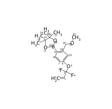 C=CC(F)(F)Oc1ccc(B2OC(C)(C)C(C)(C)O2)c(COC)c1